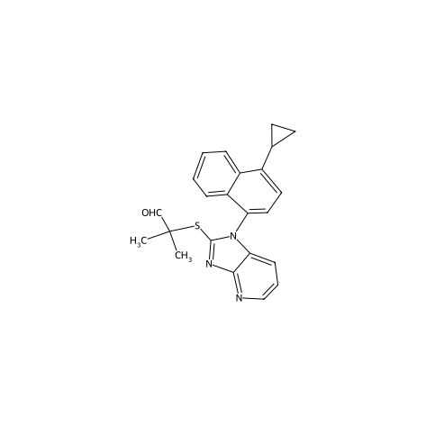 CC(C)(C=O)Sc1nc2ncccc2n1-c1ccc(C2CC2)c2ccccc12